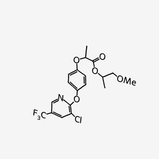 COCC(C)OC(=O)C(C)Oc1ccc(Oc2ncc(C(F)(F)F)cc2Cl)cc1